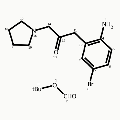 CC(C)(C)OC=O.Nc1ccc(Br)cc1CC(=O)CN1CCCC1